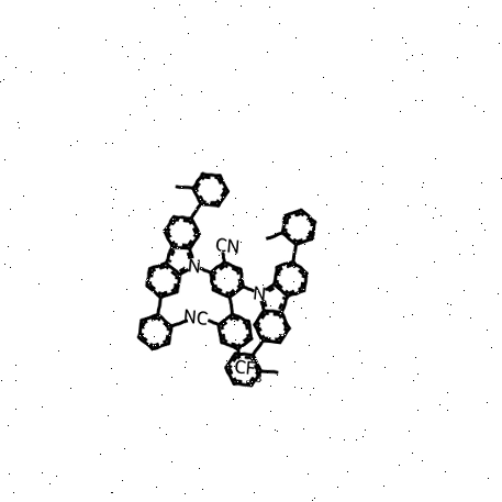 Cc1ccccc1-c1ccc2c3ccc(-c4ccccc4C)cc3n(-c3cc(-c4ccc(C(F)(F)F)cc4C#N)c(-n4c5cc(-c6ccccc6C)ccc5c5ccc(-c6ccccc6C)cc54)cc3C#N)c2c1